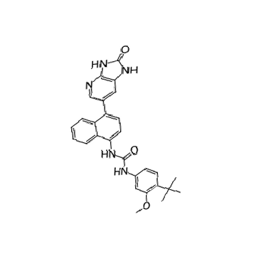 COc1cc(NC(=O)Nc2ccc(-c3cnc4[nH]c(=O)[nH]c4c3)c3ccccc23)ccc1C(C)(C)C